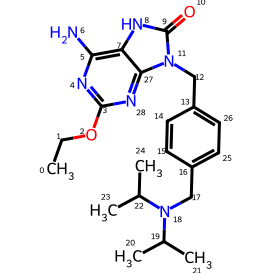 CCOc1nc(N)c2[nH]c(=O)n(Cc3ccc(CN(C(C)C)C(C)C)cc3)c2n1